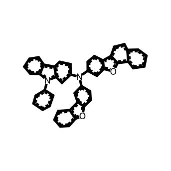 c1ccc(-n2c3ccccc3c3ccc(N(c4ccc5c(c4)oc4c6ccccc6ccc54)c4ccc5oc6ccccc6c5c4)cc32)cc1